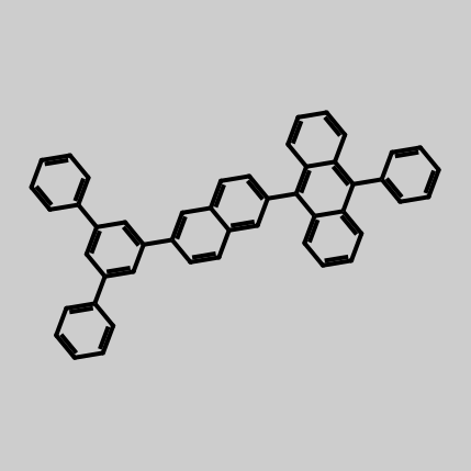 c1ccc(-c2cc(-c3ccccc3)cc(-c3ccc4cc(-c5c6ccccc6c(-c6ccccc6)c6ccccc56)ccc4c3)c2)cc1